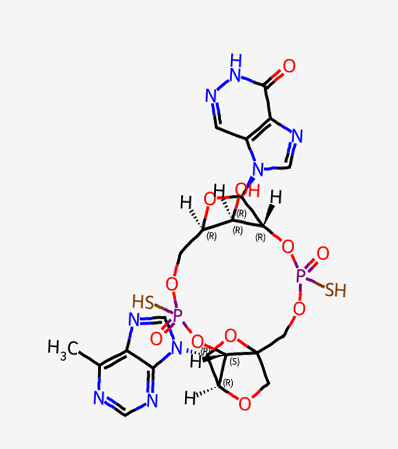 Cc1ncnc2c1ncn2[C@@H]1OC23CO[C@@H]1[C@@H]2OP(=O)(S)OC[C@H]1O[C@@H](n2cnc4c(=O)[nH]ncc42)[C@H](OP(=O)(S)OC3)[C@@H]1O